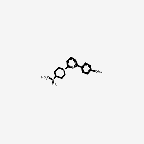 COc1ccc(-c2cccc(N3CCC(N(C)C(=O)O)CC3)n2)cc1